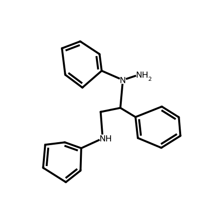 NN(c1ccccc1)C(CNc1ccccc1)c1ccccc1